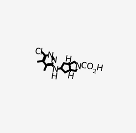 Cc1c(Cl)nnc(NC2C[C@@H]3CN(C(=O)O)C[C@@H]3C2)c1C